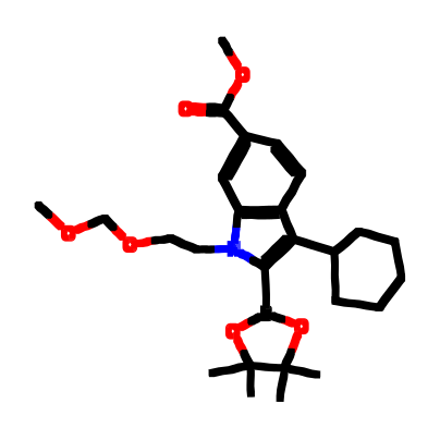 COCOCCn1c(B2OC(C)(C)C(C)(C)O2)c(C2CCCCC2)c2ccc(C(=O)OC)cc21